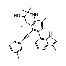 Cc1cccc(C#Cc2c(-c3cccc4c(C)c[nH]c34)cc(C)c3c2[C@H](C)C(O)C(C)(C)N3)c1